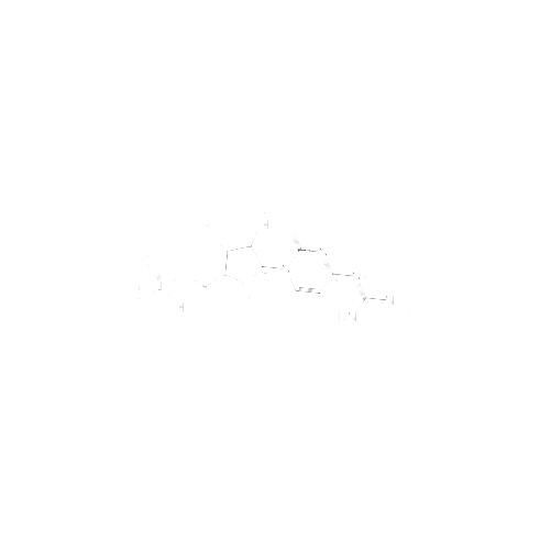 NC(N)=Nc1ccn(C2OC(COP(=O)(O)O)C(O)C2O)c(=O)n1